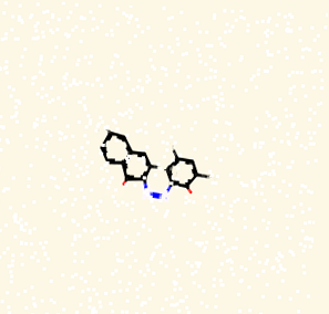 O=[N+]([O-])c1cc(/N=N\c2c(S(=O)(=O)O)cc3cc(S(=O)(=O)O)ccc3c2O)c(O)c([N+](=O)[O-])c1